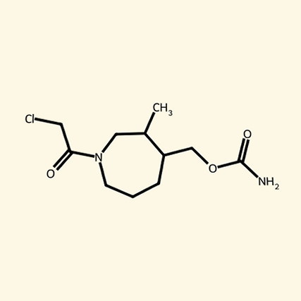 CC1CN(C(=O)CCl)CCCC1COC(N)=O